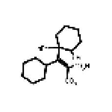 CCCC1CCCCC1(CCC)C(=C(C(=O)O)C(=O)O)C1CCCCC1